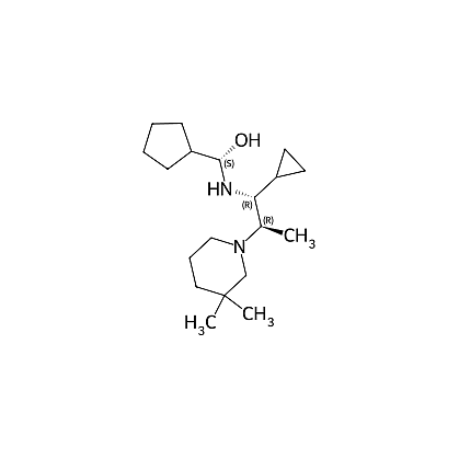 C[C@H]([C@H](N[C@@H](O)C1CCCC1)C1CC1)N1CCCC(C)(C)C1